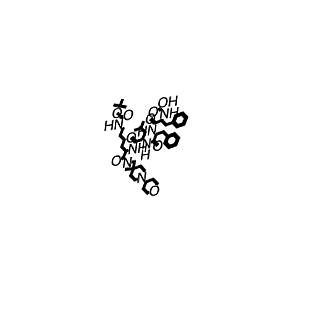 CC(C)CC(NC(=O)C(Cc1ccccc1)NC(=O)C(Cc1ccccc1)NC(=O)O)C(=O)NC(CCCCNC(=O)OC(C)(C)C)C(=O)N1CC2(CCN(C3CCOCC3)CC2)C1